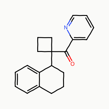 O=C(c1ccccn1)C1(C2CCCc3ccccc32)CCC1